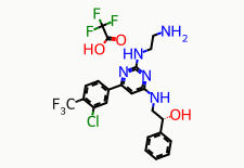 NCCNc1nc(NC[C@H](O)c2ccccc2)cc(-c2ccc(C(F)(F)F)c(Cl)c2)n1.O=C(O)C(F)(F)F